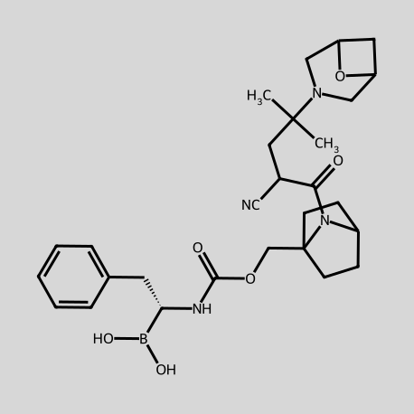 CC(C)(CC(C#N)C(=O)N1C2CCC1(COC(=O)N[C@@H](Cc1ccccc1)B(O)O)CC2)N1CC2CC(C1)O2